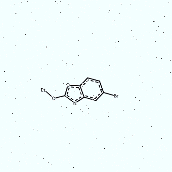 CCOc1nc2cc(Br)ccc2o1